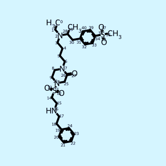 CCN(CCCCN1CCN(S(=O)(=O)CCNCCc2ccccc2)CC1=O)C(C)Cc1ccc(S(C)(=O)=O)cc1